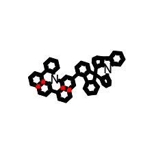 c1ccc(-c2ccccc2N(c2cccc(-c3cccc4c3-c3ccccc3C43c4ccccc4-n4c5ccccc5c5cccc3c54)c2)c2ccccc2-c2ccccc2)cc1